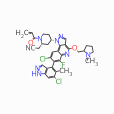 C=CC(=O)N1CC[C@H](n2ncc3c(OCC4CCCN4C)nc4c(F)c(-c5c(C)c(Cl)cc6[nH]ncc56)c(Cl)cc4c32)C[C@H]1CC#N